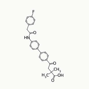 CC(C)(CC(=O)c1ccc(-c2ccc(NC(=O)Cc3ccc(F)cc3)cc2)cc1)C(=O)O